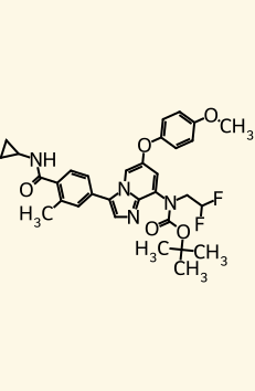 COc1ccc(Oc2cc(N(CC(F)F)C(=O)OC(C)(C)C)c3ncc(-c4ccc(C(=O)NC5CC5)c(C)c4)n3c2)cc1